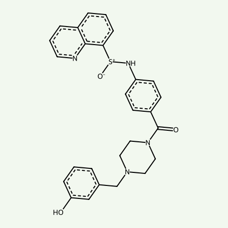 O=C(c1ccc(N[S+]([O-])c2cccc3cccnc23)cc1)N1CCN(Cc2cccc(O)c2)CC1